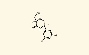 CN1C[C@@](C)(c2cc(F)cc(F)c2)NC(=O)[C@]1(C)CO